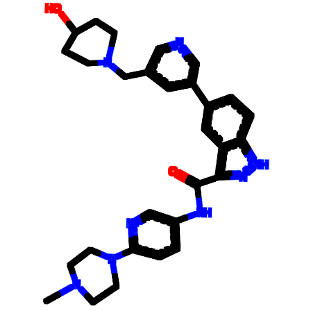 CN1CCN(c2ccc(NC(=O)c3n[nH]c4ccc(-c5cncc(CN6CCC(O)CC6)c5)cc34)cn2)CC1